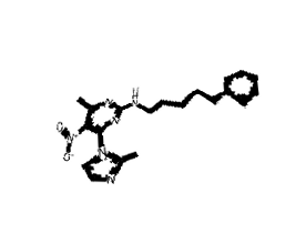 Cc1nc(NCCCCCc2ccccc2)nc(-n2ccnc2C)c1[N+](=O)[O-]